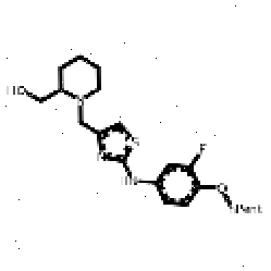 CCCCCOc1ccc(Nc2nc(CN3CCCCC3CO)cs2)cc1F